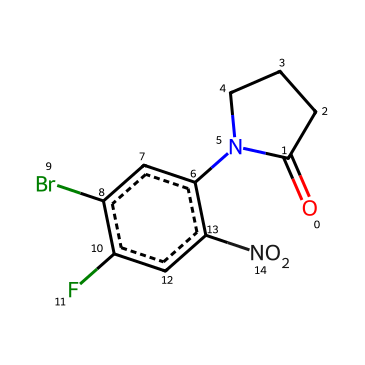 O=C1CCCN1c1cc(Br)c(F)cc1[N+](=O)[O-]